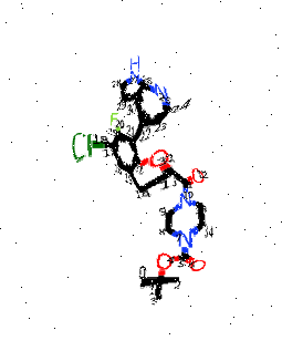 CC(C)(C)OC(=O)N1CCN(C(=O)C2Cc3cc(Cl)c(F)c(-c4ccnc5[nH]ccc45)c3O2)CC1